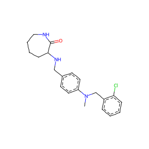 CN(Cc1ccccc1Cl)c1ccc(CNC2CCCCNC2=O)cc1